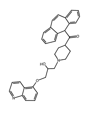 O=C(C1CCN(CC(O)COc2cccc3ncccc23)CC1)C1c2ccccc2C=Cc2ccccc21